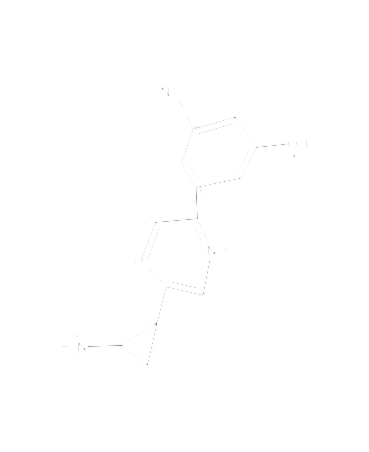 N#Cc1cc(O)cc(-c2ccc(C3CC3N)cn2)c1